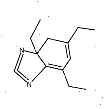 CCC1=CC(CC)=C2N=C=NC2(CC)C1